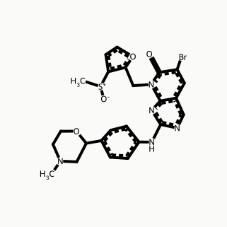 CN1CCOC(c2ccc(Nc3ncc4cc(Br)c(=O)n(Cc5occc5[S+](C)[O-])c4n3)cc2)C1